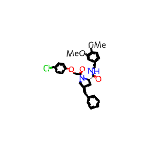 COc1ccc(CNC(=O)[C@@H]2C/C(=C\c3ccccc3)CN2C(=O)COc2ccc(Cl)cc2)cc1OC